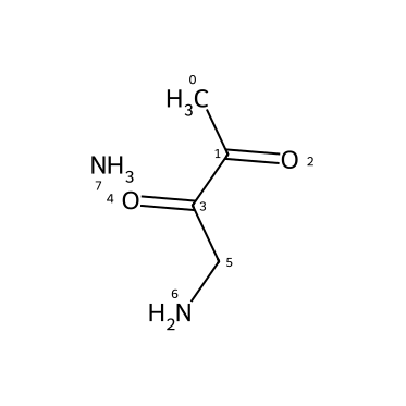 CC(=O)C(=O)CN.N